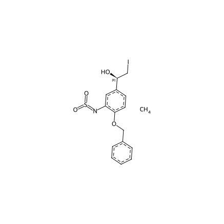 C.O=S(=O)=Nc1cc([C@@H](O)CI)ccc1OCc1ccccc1